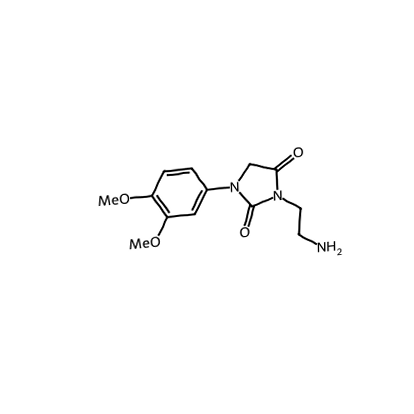 COc1ccc(N2CC(=O)N(CCN)C2=O)cc1OC